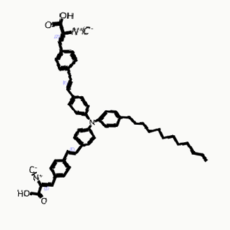 [C-]#[N+]/C(=C\c1ccc(/C=C/c2ccc(N(c3ccc(/C=C/c4ccc(/C=C(\[N+]#[C-])C(=O)O)cc4)cc3)c3ccc(CCCCCCCCCCCC)cc3)cc2)cc1)C(=O)O